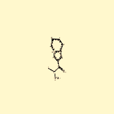 CN[C@@H](C)C(=O)c1cc2ccccn2c1